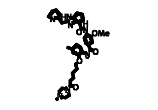 COc1cc(C(=O)N(C)c2ccc(C)cc2OCCCCCC(=O)N2CCN(C)CC2)ccc1NC(=O)c1cccc2[nH]c(Cc3ccccn3)nc12